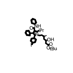 CC(C)c1c(C(=O)Nc2ccccc2)c(-c2ccccc2)c(-c2ccc(F)cc2)n1CC[C@@H](C)C[C@@H](O)CC(=O)OC(C)(C)C